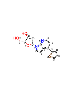 OC[C@H]1O[C@@H](n2ccc3c(-c4cccs4)ccnc32)C[C@@H]1O